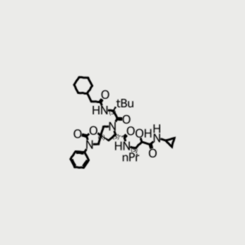 CCC[C@H](NC(=O)[C@@H]1C[C@]2(CN(c3ccccc3)C(=O)O2)CN1C(=O)[C@@H](NC(=O)CC1CCCCC1)C(C)(C)C)C(O)C(=O)NC1CC1